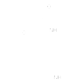 CC1Oc2ccc([NH])cc2NC1=O